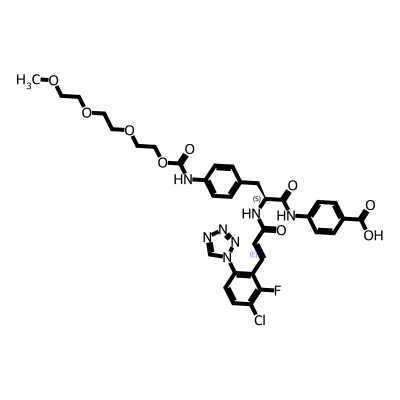 COCCOCCOCCOC(=O)Nc1ccc(C[C@H](NC(=O)/C=C/c2c(-n3cnnn3)ccc(Cl)c2F)C(=O)Nc2ccc(C(=O)O)cc2)cc1